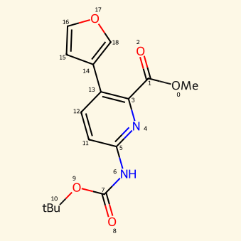 COC(=O)c1nc(NC(=O)OC(C)(C)C)ccc1-c1ccoc1